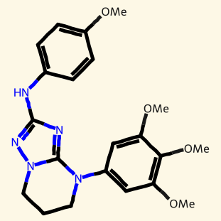 COc1ccc(Nc2nc3n(n2)CCCN3c2cc(OC)c(OC)c(OC)c2)cc1